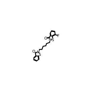 O=c1c2ccccc2sn1CCCCCCn1sc2c(F)cccc2c1=O